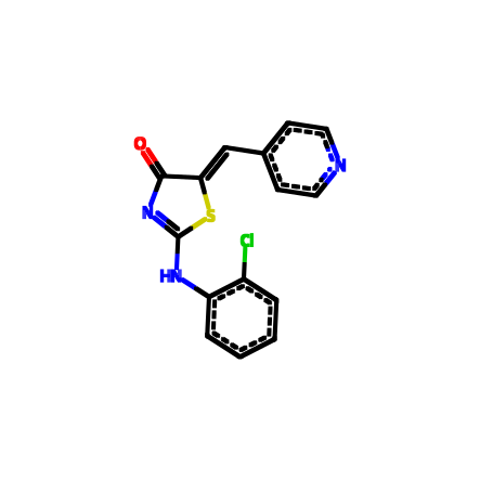 O=C1N=C(Nc2ccccc2Cl)S/C1=C\c1ccncc1